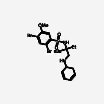 CCCCC(CC)(CNC1C=CC=CC1)NS(=O)(=O)c1cc(OC)c(Br)cc1Br